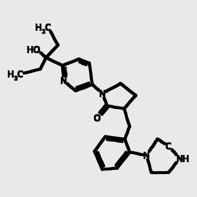 CCC(O)(CC)c1ccc(N2CCC(Cc3ccccc3N3CCNCC3)C2=O)cn1